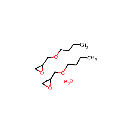 CCCCOCC1CO1.CCCCOCC1CO1.O